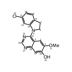 COc1cc2c(N3CCc4ccc(Cl)cc43)ncnc2cc1O